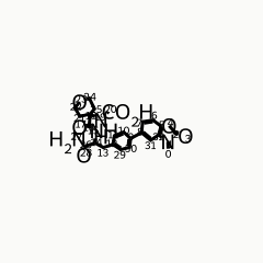 Cn1c(=O)oc2ccc(-c3ccc(CC(NC(=O)C4(NC(=O)O)CCOCC4)C(N)=O)cc3)cc21